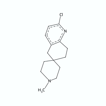 CN1CCC2(CCc3nc(Cl)ccc3C2)CC1